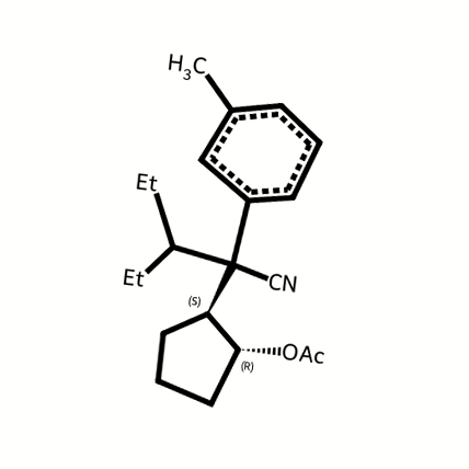 CCC(CC)C(C#N)(c1cccc(C)c1)[C@@H]1CCC[C@H]1OC(C)=O